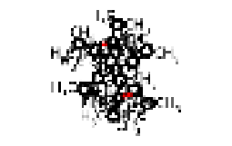 CB1c2c(C)cc(C)cc2-c2cc(C)c(-c3cc4c(-c5c(C)cc6c(c5C)B(C)c5c(C)cc(C)cc5-6)c5cc(-c6c(C)cc7c(c6C)B(C)c6c(C)cc(C)cc6-7)c(-c6c(C)cc7c(c6C)B(C)c6c(C)cc(C)cc6-7)cc5c(-c5c(C)cc6c(c5C)B(C)c5c(C)cc(C)cc5-6)c4cc3-c3c(C)cc4c(c3C)B(C)c3c(C)cc(C)cc3-4)c(C)c21